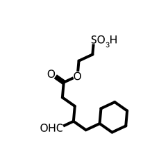 O=CC(CCC(=O)OCCS(=O)(=O)O)CC1CCCCC1